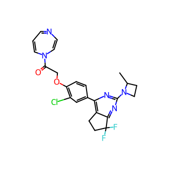 CC1CCN1c1nc(-c2ccc(OCC(=O)N3C=CC=NC=C3)c(Cl)c2)c2c(n1)C(F)(F)CC2